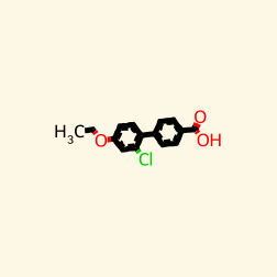 CCOc1ccc(-c2ccc(C(=O)O)cc2)c(Cl)c1